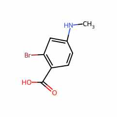 CNc1ccc(C(=O)O)c(Br)c1